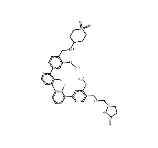 COc1cc(-c2nccc(-c3cccc(-c4ccc(CNC[C@H]5CCC(=O)N5)c(OC)n4)c3Cl)c2Cl)ccc1CNC1CCS(=O)(=O)CC1